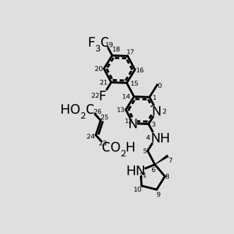 Cc1nc(NC[C@]2(C)CCCN2)ncc1-c1ccc(C(F)(F)F)cc1F.O=C(O)/C=C/C(=O)O